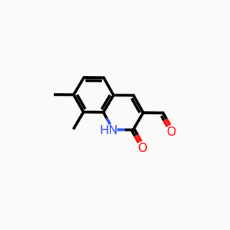 Cc1ccc2cc(C=O)c(=O)[nH]c2c1C